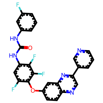 O=C(Nc1cccc(F)c1)Nc1cc(F)c(Oc2ccc3ncc(-c4cccnc4)nc3c2)c(F)c1F